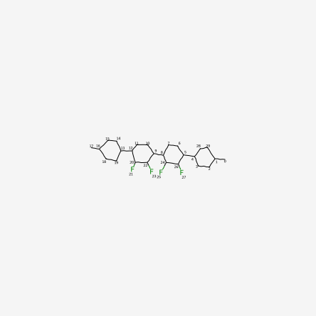 CC1CCC(C2CCC(C3CCC(C4CCC(C)CC4)C(F)C3F)C(F)C2F)CC1